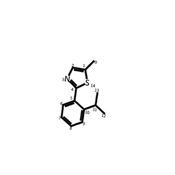 Cc1cnc(-c2ccccc2C(C)C)s1